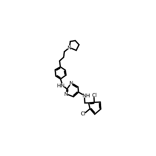 Clc1cccc(Cl)c1CNc1cnc(Nc2ccc(CCCN3CCCC3)cc2)nc1